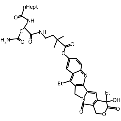 CCCCCCCC(=O)NC(CC(N)=O)C(=O)NCCC(C)(C)C(=O)Oc1ccc2nc3c(c(CC)c2c1)Cn1c-3cc2c(c1=O)COC(=O)[C@]2(O)CC